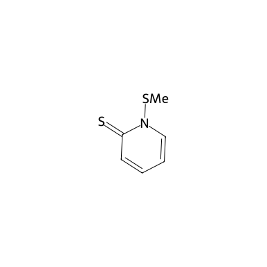 CSn1ccccc1=S